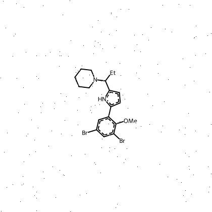 CCC(c1ccc(-c2cc(Br)cc(Br)c2OC)[nH]1)N1CCCCC1